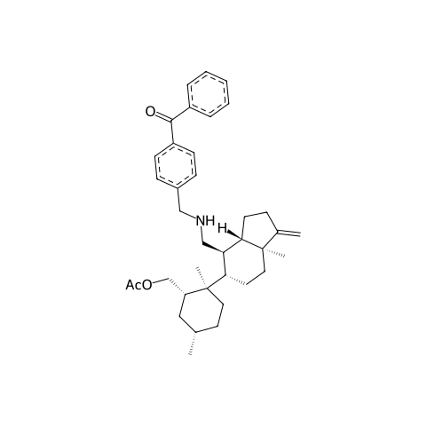 C=C1CC[C@H]2[C@H](CNCc3ccc(C(=O)c4ccccc4)cc3)[C@@H]([C@@]3(C)CC[C@H](C)C[C@@H]3COC(C)=O)CC[C@]12C